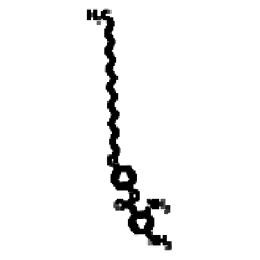 CCCCCCCCCCCCCCCCOc1ccc(OC(=O)c2ccc(N)cc2N)cc1